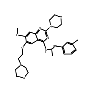 COc1cc2nc(N3CCOCC3)nc(NC(C)Nc3cccc(C)c3)c2cc1OCCN1CCOCC1